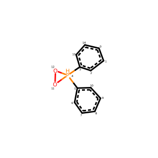 c1ccc([PH]2(c3ccccc3)OO2)cc1